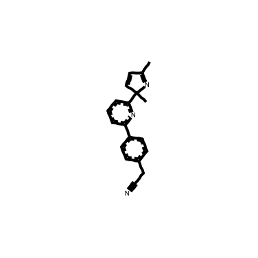 CC1=NC(C)(c2cccc(-c3ccc(CC#N)cc3)n2)C=C1